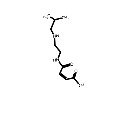 CC(=O)/C=C\C(=O)NCCNCC(C)C